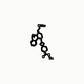 COCCN1CCN(C2CC3(CCN(C(=O)OC(C)(C)C)CC3)C2)C(c2ccccc2C(C)C)C1=O